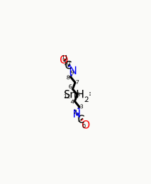 O=C=NCCCCCCN=C=O.[SnH2]